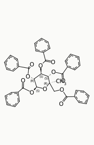 C[C@]1(COC(=O)c2ccccc2)O[C@@H](OC(=O)c2ccccc2)[C@H](OC(=O)c2ccccc2)[C@@H](OC(=O)c2ccccc2)[C@@H]1OC(=O)c1ccccc1